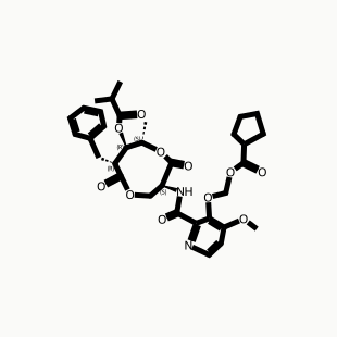 COc1ccnc(C(=O)N[C@H]2COC(=O)[C@H](Cc3ccccc3)[C@@H](OC(=O)C(C)C)[C@H](C)OC2=O)c1OCOC(=O)C1CCCC1